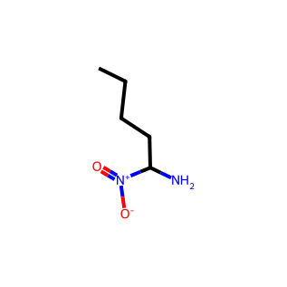 CCCCC(N)[N+](=O)[O-]